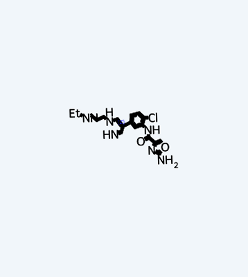 CCNCCCN/C=C(\C=N)c1ccc(Cl)c(NC(=O)c2coc(N)n2)c1